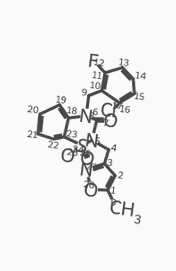 Cc1cc(CN2C(=O)N(Cc3c(F)cccc3Cl)c3ccccc3S2(=O)=O)no1